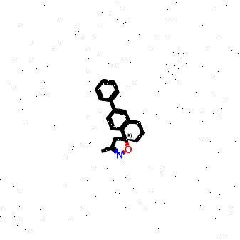 CC1=NO[C@]2(CCCc3cc(-c4ccccc4)ccc32)C1